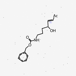 CC(=O)/C=C/C(O)CCCNC(=O)OCc1ccccc1